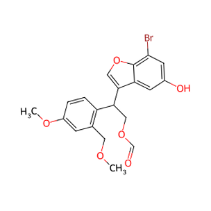 COCc1cc(OC)ccc1C(COC=O)c1coc2c(Br)cc(O)cc12